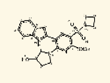 COc1nc(N2CCC(O)C2)c(-c2cc3ccccc3[nH]2)cc1S(=O)(=O)N1CCC1